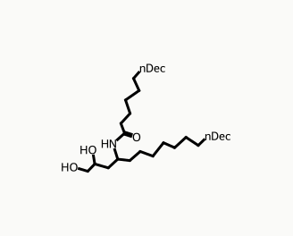 CCCCCCCCCCCCCCCCCC(CC(O)CO)NC(=O)CCCCCCCCCCCCCCC